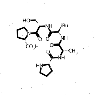 CC[C@H](C)[C@H](NC(=O)[C@H](C)NC(=O)[C@@H]1CCCN1)C(=O)N[C@@H](CO)C(=O)N1CCC[C@H]1C(=O)O